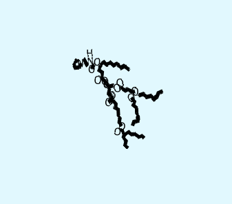 CC/C=C\CCCCOC(CCC(=O)OCC(COC(=O)CCCCCCOC(=O)C(CCCC)CCCCCC)COC(=O)CCC(CCCCCCCC)OC(=O)NCCN1CCCC1)OCCCC/C=C\CC